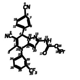 CC1=C(C#N)[C@@H](c2ccc(C#N)cc2)n2nc(NC(=O)OC(C)C)nc2N1c1cccc(C(F)(F)F)c1